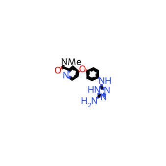 CNC(=O)c1cc(Oc2ccc(Nc3nnc(N)[nH]3)cc2)ccn1